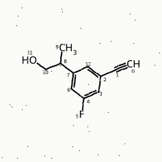 C#Cc1cc(F)cc([C](C)CO)c1